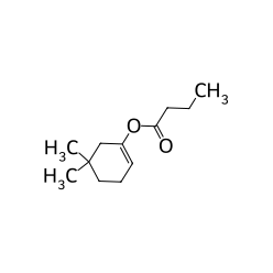 CCCC(=O)OC1=CCCC(C)(C)C1